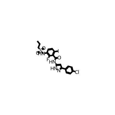 CCCS(=O)(=O)Nc1ccc(I)c(C(=O)Nc2cc(-c3ccc(Cl)cc3)n[nH]2)c1F